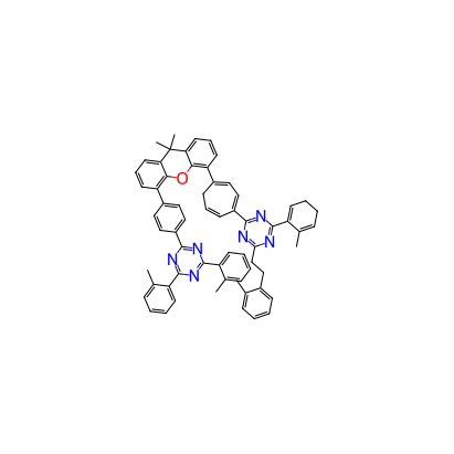 CC1=CCCC=C1c1nc(CCc2ccccc2C)nc(C2=CC=C(c3cccc4c3Oc3c(-c5ccc(-c6nc(-c7ccccc7C)nc(-c7ccccc7C)n6)cc5)cccc3C4(C)C)CC=C2)n1